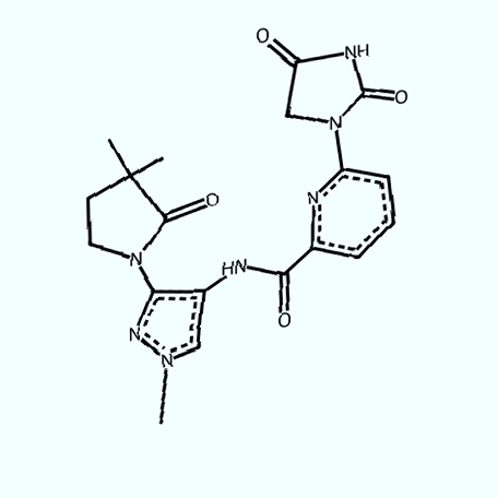 Cn1cc(NC(=O)c2cccc(N3CC(=O)NC3=O)n2)c(N2CCC(C)(C)C2=O)n1